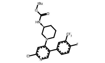 CC(C)(C)OC(=O)N[C@H]1CCCN(c2cc(Cl)ncc2-c2ccc(F)c(C(F)(F)F)c2)C1